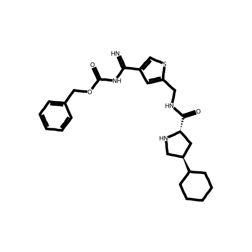 N=C(NC(=O)OCc1ccccc1)c1csc(CNC(=O)[C@@H]2C[C@@H](C3CCCCC3)CN2)c1